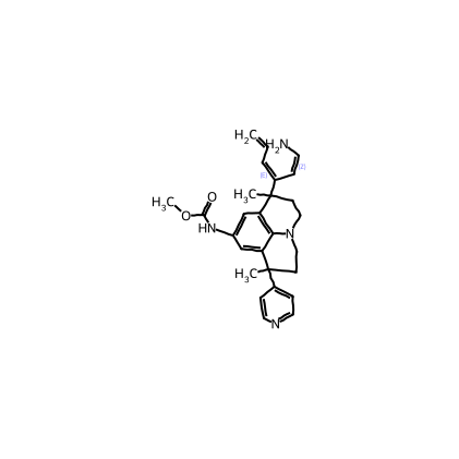 C=C/C=C(\C=C/N)C1(C)CCN2CCC(C)(c3ccncc3)c3cc(NC(=O)OC)cc1c32